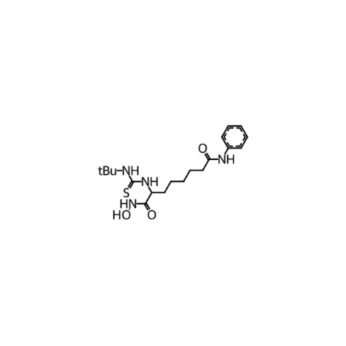 CC(C)(C)NC(=S)NC(CCCCCC(=O)Nc1ccccc1)C(=O)NO